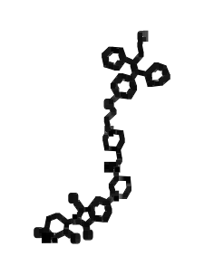 O=C1CCC(N2C(=O)c3ccc(N4CCC[C@H](NCC5CCN(CCOc6ccc(C(=C(CCCl)c7ccccc7)c7ccccc7)cc6)CC5)C4)cc3C2=O)C(=O)N1